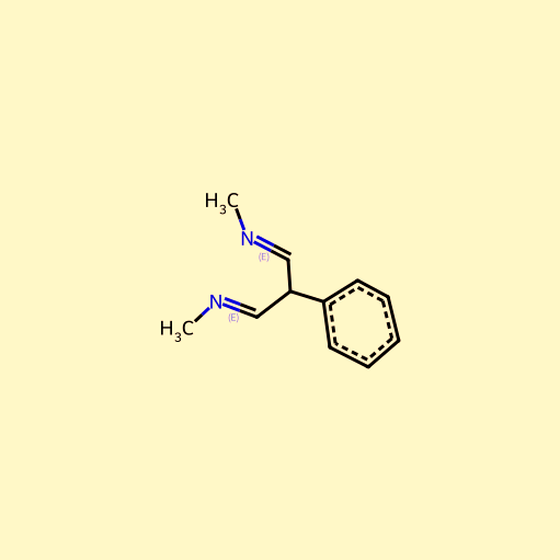 C/N=C/C(/C=N/C)c1ccccc1